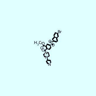 COC(=O)c1cc(S(=O)(=O)c2ccc3cc(Br)ccc3c2)ccc1C(=O)N1CCN(c2ccncc2)CC1